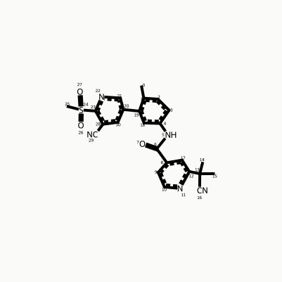 Cc1ccc(NC(=O)c2ccnc(C(C)(C)C#N)c2)cc1-c1cnc(S(C)(=O)=O)c(C#N)c1